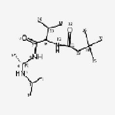 CC(C)N[C@H](C)NC(=O)C(NC(=O)CC(C)(C)C)C(C)C